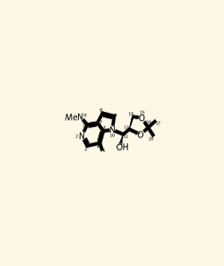 CNc1ncc(C)c2c1ccn2[C@H](O)[C@H]1COC(C)(C)O1